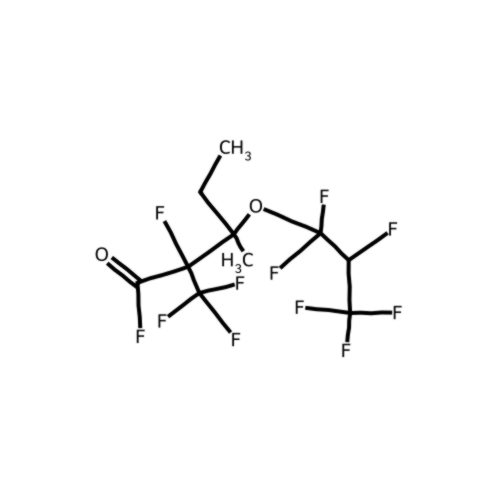 CCC(C)(OC(F)(F)C(F)C(F)(F)F)C(F)(C(=O)F)C(F)(F)F